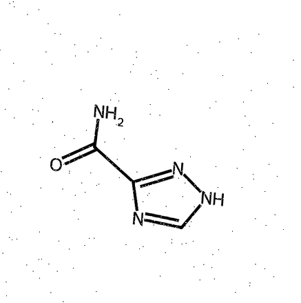 NC(=O)c1nc[nH]n1